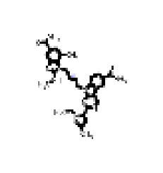 CCn1nc(C)cc1-c1ncc2c3cc(C(N)=O)ccc3n(C/C=C/Cn3c(NC)nc4cc(C(N)=O)cc(C)c43)c2n1